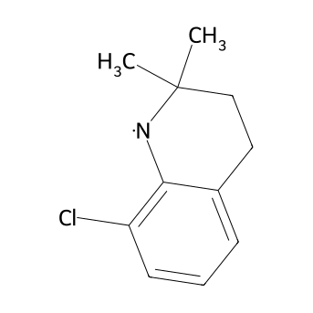 CC1(C)CCc2cccc(Cl)c2[N]1